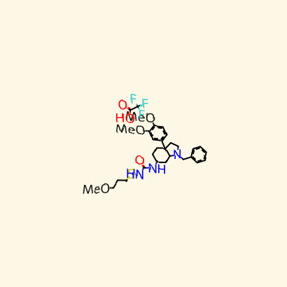 COCCCSNC(=O)NC1CCC2(c3ccc(OC)c(OC)c3)CCN(Cc3ccccc3)C2C1.O=C(O)C(F)(F)F